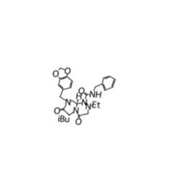 CCC(C)[C@H]1C(=O)N(Cc2ccc3c(c2)OCO3)C[C@H]2N1C(=O)CN(CC)N2C(=O)NCc1ccccc1